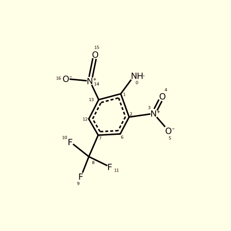 [NH]c1c([N+](=O)[O-])cc(C(F)(F)F)cc1[N+](=O)[O-]